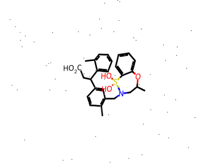 Cc1ccc(C(CC(=O)O)c2ccccc2C)cc1CN1CC(C)Oc2ccccc2S1(O)O